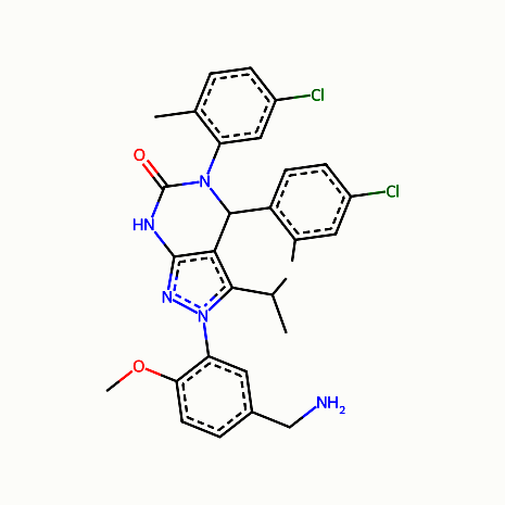 COc1ccc(CN)cc1-n1nc2c(c1C(C)C)C(c1ccc(Cl)cc1C)N(c1cc(Cl)ccc1C)C(=O)N2